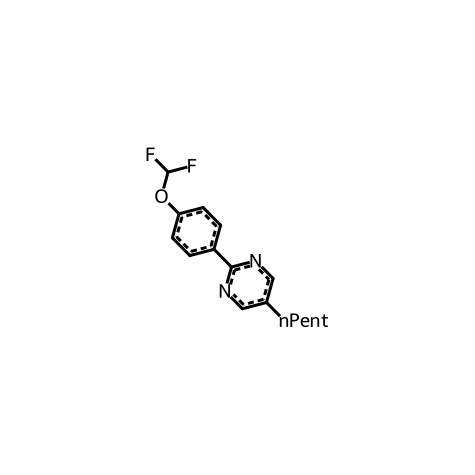 CCCCCc1cnc(-c2ccc(OC(F)F)cc2)nc1